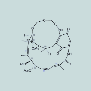 CO[C@H]1/C=C\C=C(/C)C(=O)NC2=CC(=O)C3=C(C[C@@H](C)C[C@H](OC)[C@H](OCCCCN3)[C@@H](C)/C=C(\C)[C@@H]1OC(C)=O)C2=O